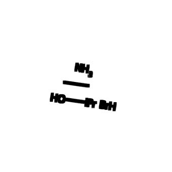 Br.CC.CC(C)O.N